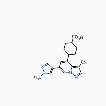 Cn1cc(-c2cc(C3CCC(C(=O)O)CC3)c3c(C#N)cnn3c2)cn1